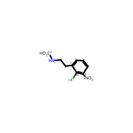 O=C(O)NCCc1cccc([N+](=O)[O-])c1F